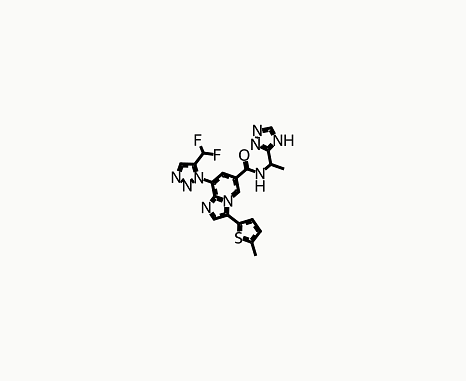 Cc1ccc(-c2cnc3c(-n4nncc4C(F)F)cc(C(=O)NC(C)c4nnc[nH]4)cn23)s1